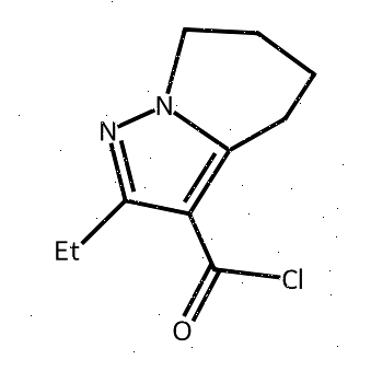 CCc1nn2c(c1C(=O)Cl)CCCC2